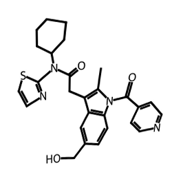 Cc1c(CC(=O)N(c2nccs2)C2CCCCC2)c2cc(CO)ccc2n1C(=O)c1ccncc1